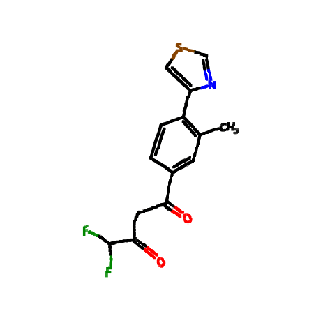 Cc1cc(C(=O)CC(=O)C(F)F)ccc1-c1cscn1